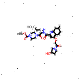 CCCCOC(=O)N1CCN(C(=O)[C@H](CCC(=O)O)NC(=O)c2cc(OCC(=O)N3CC[C@H](O)C3)c3ccc(C)cc3n2)CC1